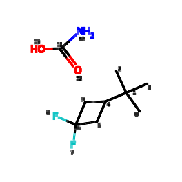 CC(C)(C)C1CC(F)(F)C1.NC(=O)O